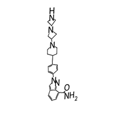 NC(=O)c1cccc2cn(-c3ccc(C4CCN(C5CN(C6CNC6)C5)CC4)cc3)nc12